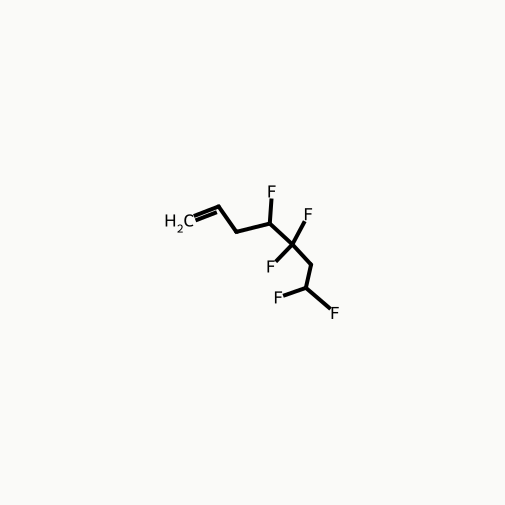 C=CCC(F)C(F)(F)CC(F)F